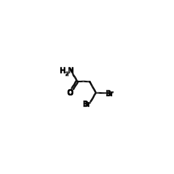 NC(=O)CC(Br)Br